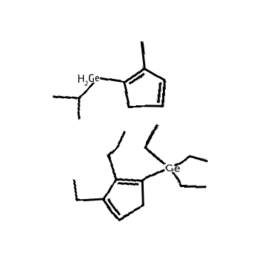 CC1=[C]([GeH2][CH](C)C)CC=C1.CCC1=CC[C]([Ge]([CH2]C)([CH2]C)[CH2]C)=C1CC